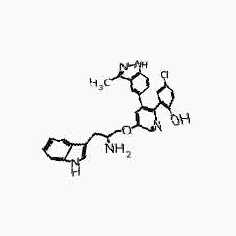 Cc1n[nH]c2ccc(-c3cc(OC[C@@H](N)Cc4c[nH]c5ccccc45)cnc3-c3cc(Cl)ccc3O)cc12